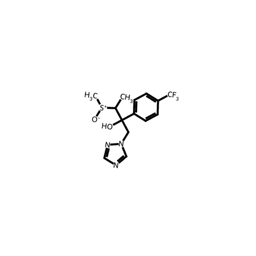 CC([S+](C)[O-])C(O)(Cn1cncn1)c1ccc(C(F)(F)F)cc1